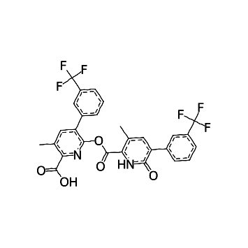 Cc1cc(-c2cccc(C(F)(F)F)c2)c(OC(=O)c2[nH]c(=O)c(-c3cccc(C(F)(F)F)c3)cc2C)nc1C(=O)O